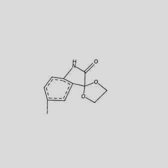 O=C1Nc2ccc(I)cc2C12OCCO2